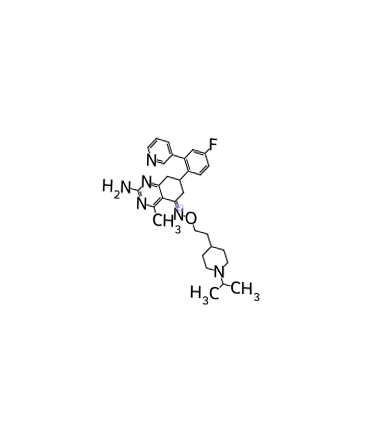 Cc1nc(N)nc2c1/C(=N/OCCC1CCN(C(C)C)CC1)CC(c1ccc(F)cc1-c1cccnc1)C2